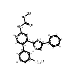 CCNC(=O)Nc1cc(-c2nc(-c3ccccc3)cs2)c(-c2cncc(C(=O)OCC)c2)cn1